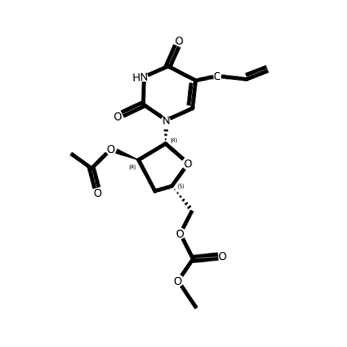 C=CCc1cn([C@@H]2O[C@H](COC(=O)OC)C[C@H]2OC(C)=O)c(=O)[nH]c1=O